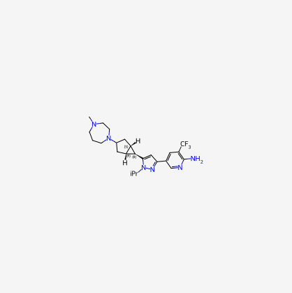 CC(C)n1nc(-c2cnc(N)c(C(F)(F)F)c2)cc1[C@H]1[C@@H]2CC(N3CCCN(C)CC3)C[C@@H]21